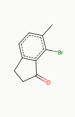 Cc1ccc2c(c1Br)C(=O)CC2